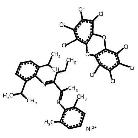 CCCC(=Nc1c(C(C)C)cccc1C(C)C)C(C)=Nc1c(C)cccc1C.[Ni+2].[O-]c1c([O-])c(Cl)c2c(c1Cl)Oc1c(Cl)c(Cl)c(Cl)c(Cl)c1O2